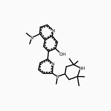 CN(C)c1ccnc2cc(O)c(-c3cccc(N(C)C4CC(C)(C)NC(C)(C)C4)n3)cc12